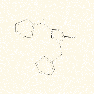 O=c1oc(Oc2ccccc2)cn1Cc1ccccc1